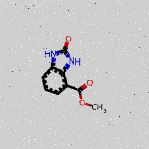 COC(=O)c1cccc2[nH]c(=O)[nH]c12